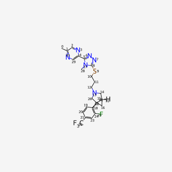 Cc1cnc(-c2nnc(SCCCN3C[C@@H]4C[C@]4(c4ccc(C(F)(F)F)cc4F)C3)n2C)cn1